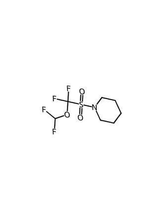 O=S(=O)(N1CCCCC1)C(F)(F)OC(F)F